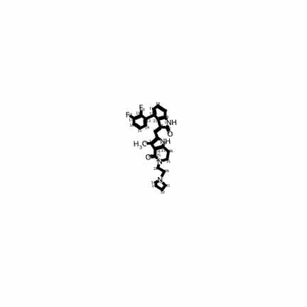 Cc1c(C=C2C(=O)Nc3cccc(-c4cccc(F)c4F)c32)[nH]c2c1C(=O)N(CCN1CCCC1)CC2